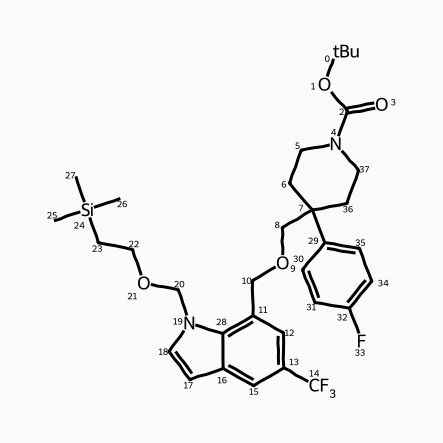 CC(C)(C)OC(=O)N1CCC(COCc2cc(C(F)(F)F)cc3ccn(COCC[Si](C)(C)C)c23)(c2ccc(F)cc2)CC1